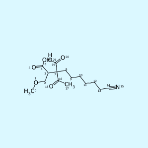 COCC(C(=O)O)C(CCCCCCC#N)(C(C)=O)C(=O)O